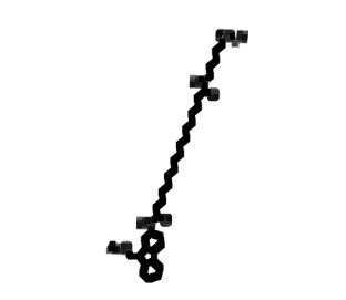 CC(=O)OCC1c2ccccc2-c2ccc(NC(=O)CCCCCCCCCCCCCCCC(=O)NCCCCCC(=O)O)cc21